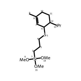 CO[Si](CCCSC1C=C(C)CCC1C(C)C)(OC)OC